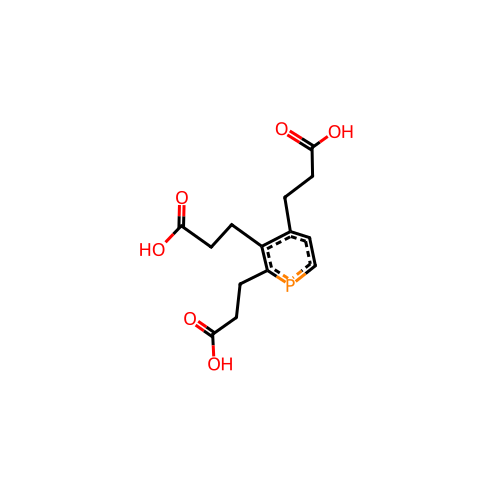 O=C(O)CCc1ccpc(CCC(=O)O)c1CCC(=O)O